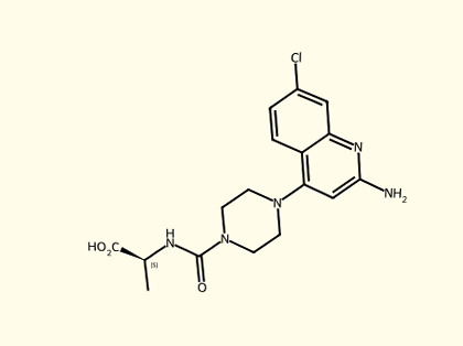 C[C@H](NC(=O)N1CCN(c2cc(N)nc3cc(Cl)ccc23)CC1)C(=O)O